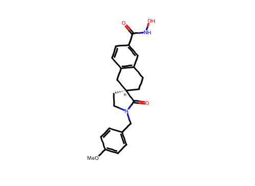 COc1ccc(CN2CC[C@]3(CCc4cc(C(=O)NO)ccc4C3)C2=O)cc1